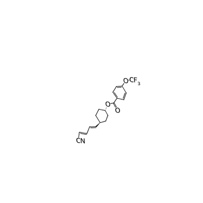 N#C/C=C/C=C/[C@H]1CC[C@H](OC(=O)c2ccc(OC(F)(F)F)cc2)CC1